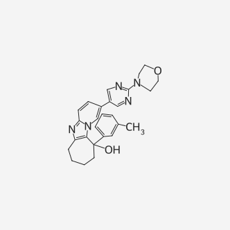 Cc1cccc(C2(O)CCCCc3nc4ccc(-c5cnc(N6CCOCC6)nc5)cn4c32)c1